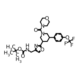 CC(C)(C)OC(=O)NCc1coc(C2CC(c3ccc(OC(F)(F)F)cc3)CN(C(=O)N3CCOCC3)C2)n1